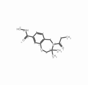 CCC(=O)N1Cc2ccc(C(=O)NO)cc2OCC1(C)C